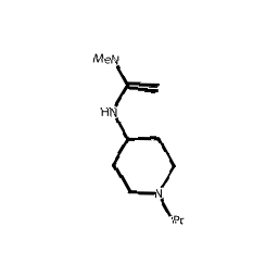 C=C(NC)NC1CCN(C(C)C)CC1